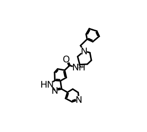 O=C(N[C@H]1CCCN(Cc2ccccc2)C1)c1ccc2[nH]nc(C3=CC=NCC3)c2c1